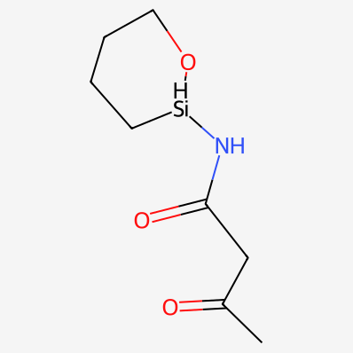 CC(=O)CC(=O)N[SiH]1CCCCO1